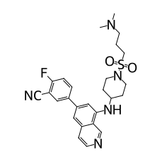 CN(C)CCCS(=O)(=O)N1CCC(Nc2cc(-c3ccc(F)c(C#N)c3)cc3ccncc23)CC1